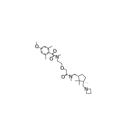 COc1cc(C)c(S(=O)(=O)N(C)CCOCC(=O)N(C)C[C@H]2CC[C@@](C)(CN3CCC3)C2(C)C)c(C)c1